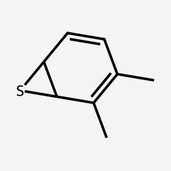 CC1=C(C)C2SC2C=C1